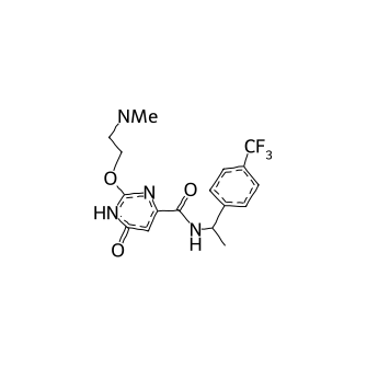 CNCCOc1nc(C(=O)NC(C)c2ccc(C(F)(F)F)cc2)cc(=O)[nH]1